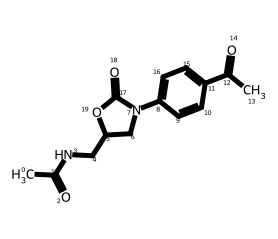 CC(=O)NCC1CN(c2ccc(C(C)=O)cc2)C(=O)O1